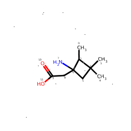 CC1C(C)(C)CC1(N)CC(=O)O